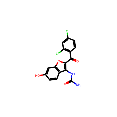 NC(=O)Nc1c(C(=O)c2ccc(Cl)cc2Cl)oc2cc(O)ccc12